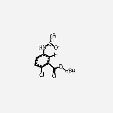 CCCCOC(=O)c1c(Cl)ccc(N[S+]([O-])CCC)c1F